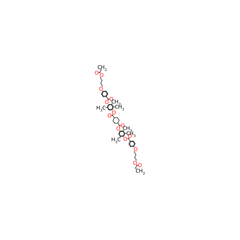 C=CC(=O)OCCCCOc1ccc(C(=O)Oc2c(C)cc(OC(=O)C3CCC(C(=O)Oc4cc(C)c(OC(=O)c5ccc(OCCCCOC(=O)C=C)cc5)c(C)c4C)CC3)c(C)c2C)cc1